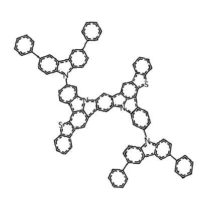 c1ccc(-c2ccc3c(c2)c2cc(-c4ccccc4)ccc2n3-c2ccc3c4c5sc6ccccc6c5cc5c6cc7c(cc6n(c3c2)c54)c2cc3c4ccccc4sc3c3c4ccc(-n5c6ccc(-c8ccccc8)cc6c6cc(-c8ccccc8)ccc65)cc4n7c23)cc1